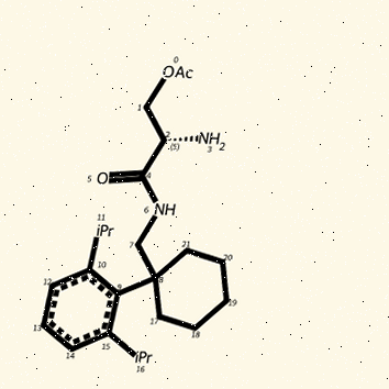 CC(=O)OC[C@H](N)C(=O)NCC1(c2c(C(C)C)cccc2C(C)C)CCCCC1